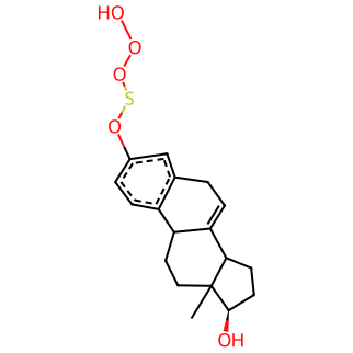 CC12CCC3C(=CCc4cc(OSOOO)ccc43)C1CC[C@H]2O